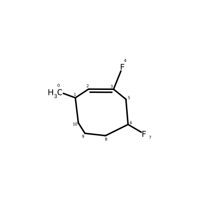 CC1C=C(F)CC(F)CCC1